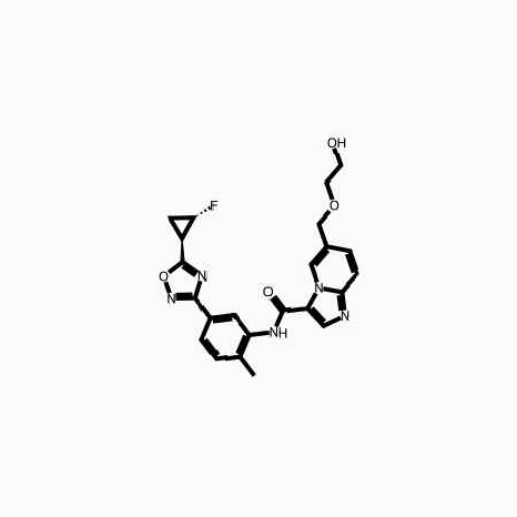 Cc1ccc(-c2noc([C@H]3C[C@@H]3F)n2)cc1NC(=O)c1cnc2ccc(COCCO)cn12